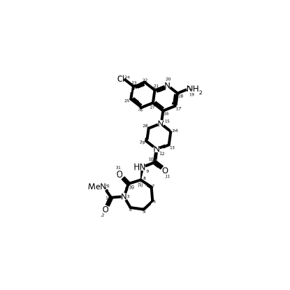 CNC(=O)N1CCCC[C@H](NC(=O)N2CCN(c3cc(N)nc4cc(Cl)ccc34)CC2)C1=O